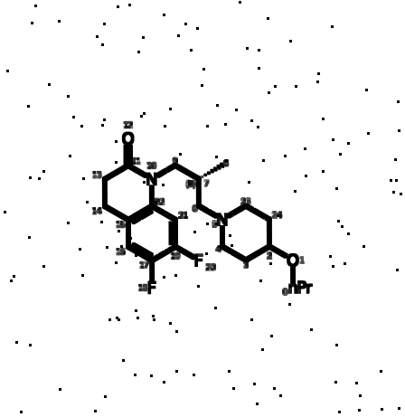 CCCOC1CCN(C[C@@H](C)CN2C(=O)CCc3cc(F)c(F)cc32)CC1